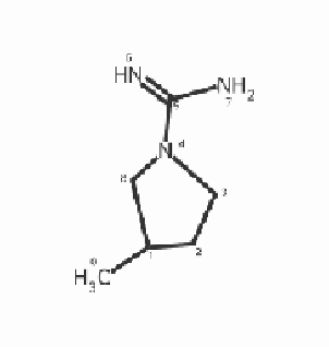 CC1CCN(C(=N)N)C1